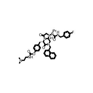 CC(C)N(C(=O)NCc1ccc(F)cc1)N1CC(=O)N2[C@@H](Cc3ccc(OC(=O)NCCN(C)C)cc3)C(=O)N(Cc3cccc4ccccc34)C[C@@H]21